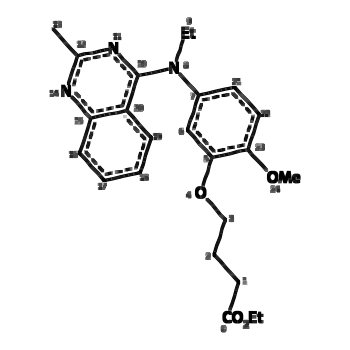 CCOC(=O)CCCOc1cc(N(CC)c2nc(C)nc3ccccc23)ccc1OC